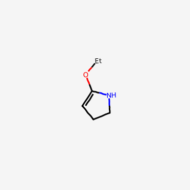 CCOC1=CCCN1